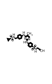 C#CCNS(=O)(=O)c1ccc(Nc2ncc(C)c(Nc3ccc(CNS(=O)(=O)C4CC4)cc3)n2)cc1